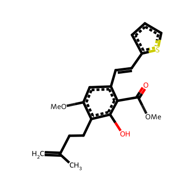 C=C(C)CCc1c(OC)cc(C=Cc2cccs2)c(C(=O)OC)c1O